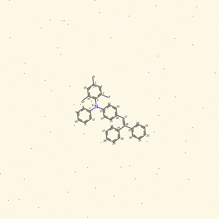 Cc1cc(C)c(N(c2ccccc2)c2ccc(C=C(c3ccccc3)c3ccccc3)cc2)c(C)c1